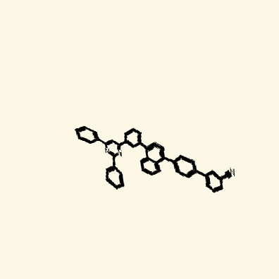 N#Cc1cccc(-c2ccc(-c3ccc(-c4cccc(-c5cc(-c6ccccc6)nc(-c6ccccc6)n5)c4)c4ccccc34)cc2)c1